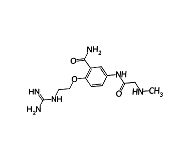 CNCC(=O)Nc1ccc(OCCNC(=N)N)c(C(N)=O)c1